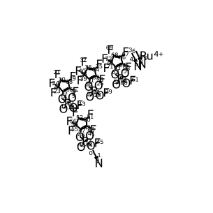 CC#N.CC#N.CC#N.O=P([O-])(OF)OC1=C(F)C(F)=C(F)C1(F)F.O=P([O-])(OF)OC1=C(F)C(F)=C(F)C1(F)F.O=P([O-])(OF)OC1=C(F)C(F)=C(F)C1(F)F.O=P([O-])(OF)OC1=C(F)C(F)=C(F)C1(F)F.[Ru+4]